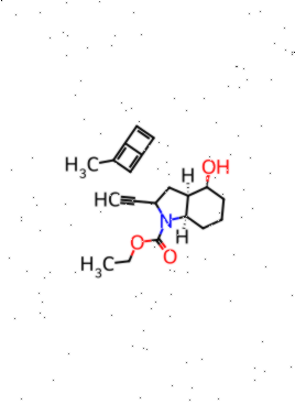 C#CC1C[C@@H]2[C@@H](CCC[C@@H]2O)N1C(=O)OCC.Cc1cc2ccc1-2